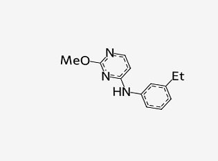 CCc1cccc(Nc2ccnc(OC)n2)c1